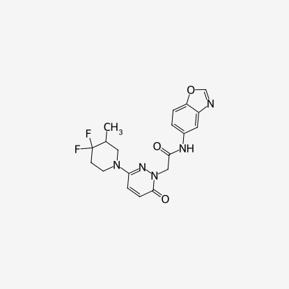 CC1CN(c2ccc(=O)n(CC(=O)Nc3ccc4ocnc4c3)n2)CCC1(F)F